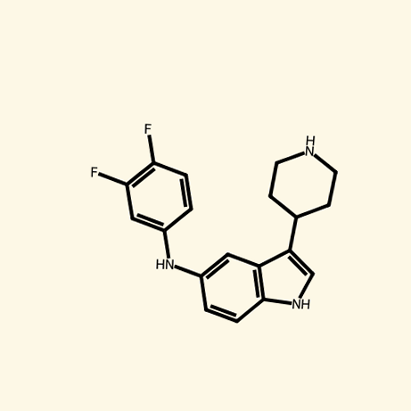 Fc1ccc(Nc2ccc3[nH]cc(C4CCNCC4)c3c2)cc1F